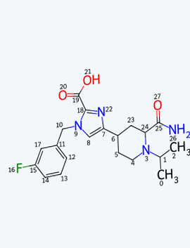 CC(C)N1CCC(c2cn(Cc3cccc(F)c3)c(C(=O)O)n2)CC1C(N)=O